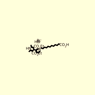 Br.CCOC(=O)C1=C(C)NC(C)=C(C(=O)OCC)C1c1ccc[n+](CCCCCCCCCCCC(=O)O)c1.[Br-]